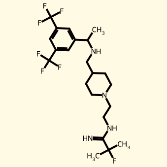 CC(NCC1CCN(CCNC(=N)C(C)(C)F)CC1)c1cc(C(F)(F)F)cc(C(F)(F)F)c1